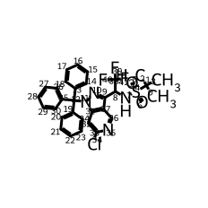 CC(C)(C)S(=O)(=O)NC(c1nn(C(c2ccccc2)(c2ccccc2)c2ccccc2)c2cc(Cl)ncc12)C(F)(F)F